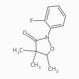 CC1ON(c2ccccc2F)C(=O)C1(C)C